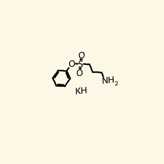 NCCCS(=O)(=O)Oc1ccccc1.[KH]